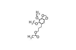 COc1c(CCCOC(C)=O)cc2c(c1OC)OCO2